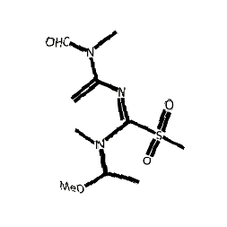 C=C(/N=C(\N(C)C(C)OC)S(C)(=O)=O)N(C)C=O